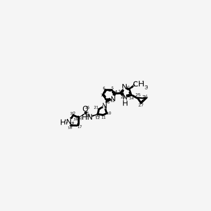 Cc1nc(-c2cccc(N3CC[C@@H](NC(=O)[C@H]4CCNC4)C3)n2)[nH]c1C1CC1